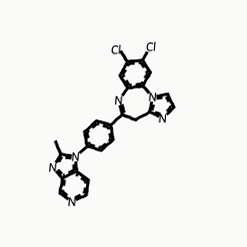 Cc1nc2cnccc2n1-c1ccc(C2=Nc3cc(Cl)c(Cl)cc3-n3ccnc3C2)cc1